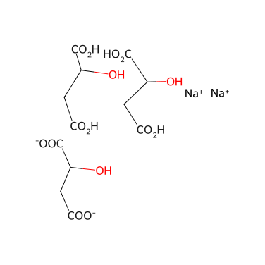 O=C(O)CC(O)C(=O)O.O=C(O)CC(O)C(=O)O.O=C([O-])CC(O)C(=O)[O-].[Na+].[Na+]